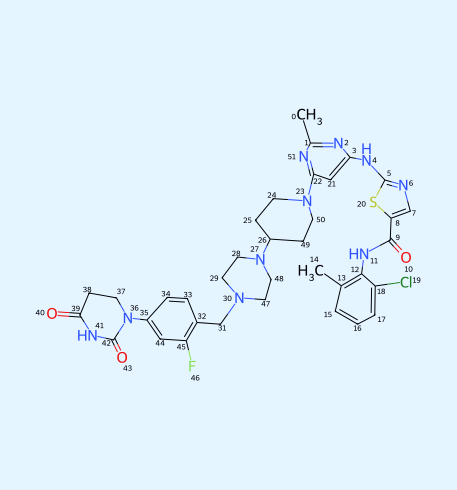 Cc1nc(Nc2ncc(C(=O)Nc3c(C)cccc3Cl)s2)cc(N2CCC(N3CCN(Cc4ccc(N5CCC(=O)NC5=O)cc4F)CC3)CC2)n1